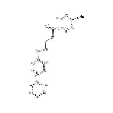 CCC(C)c1ccc(C(=O)OCCOc2ccc(-c3ccccc3)cc2)cc1